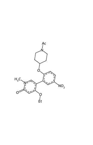 CCOc1cc(=O)n(C)cc1-c1cc([N+](=O)[O-])ccc1OC1CCN(C(C)=O)CC1